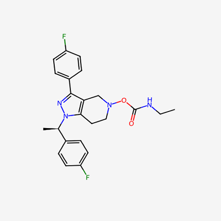 CCNC(=O)ON1CCc2c(c(-c3ccc(F)cc3)nn2[C@H](C)c2ccc(F)cc2)C1